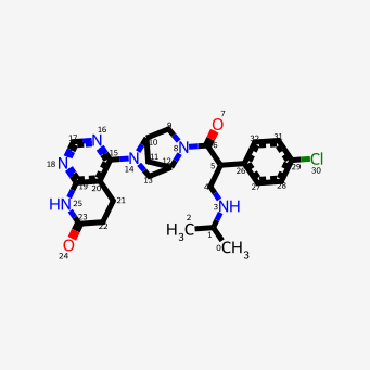 CC(C)NCC(C(=O)N1CC2CC1CN2c1ncnc2c1CCC(=O)N2)c1ccc(Cl)cc1